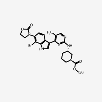 CC(C)(C)OC(=O)N1CCC[C@H](Nc2ncc(C(F)(F)F)c(-c3c[nH]c4c(Br)c(N5CCOC5=O)ccc34)n2)C1